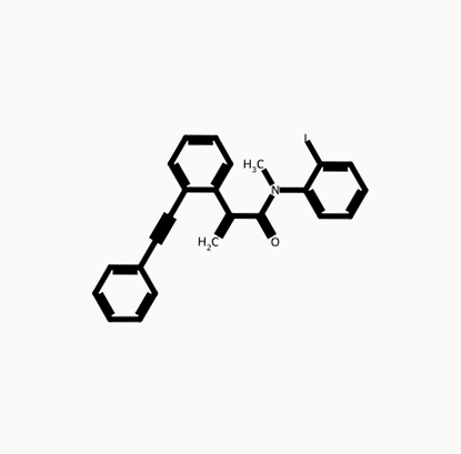 C=C(C(=O)N(C)c1ccccc1I)c1ccccc1C#Cc1ccccc1